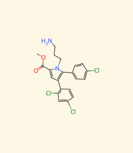 COC(=O)c1cc(-c2ccc(Cl)cc2Cl)c(-c2ccc(Cl)cc2)n1CCCN